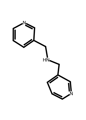 c1cncc(CNCc2cccnc2)c1